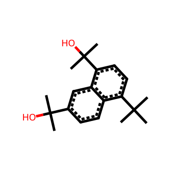 CC(C)(C)c1ccc(C(C)(C)O)c2cc(C(C)(C)O)ccc12